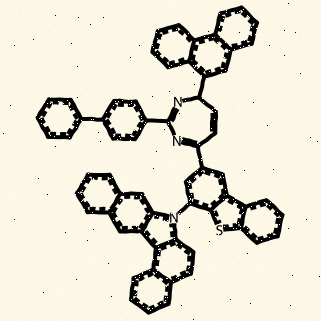 C1=CC(c2cc3ccccc3c3ccccc23)N=C(c2ccc(-c3ccccc3)cc2)N=C1c1cc(-n2c3cc4ccccc4cc3c3c4ccccc4ccc32)c2sc3ccccc3c2c1